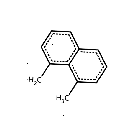 [CH2]c1cccc2cccc(C)c12